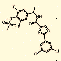 CC(NC(=O)c1coc(-c2cc(Cl)cc(Cl)c2)n1)c1cc(F)c(NS(C)(=O)=O)c(F)c1